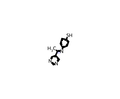 C/C(=N\c1ccc(S)cc1)c1cncnc1